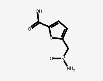 N[S+]([O-])Cc1ccc(C(=O)O)o1